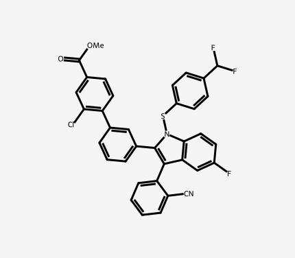 COC(=O)c1ccc(-c2cccc(-c3c(-c4ccccc4C#N)c4cc(F)ccc4n3Sc3ccc(C(F)F)cc3)c2)c(Cl)c1